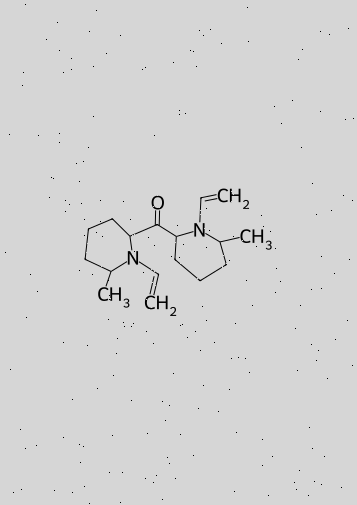 C=CN1C(C)CCCC1C(=O)C1CCCC(C)N1C=C